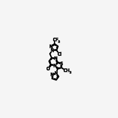 Cc1sc2nc(Cn3nc(C(F)(F)F)cc3Cl)cc(=O)n2c1-n1cccn1